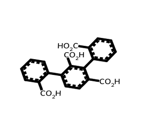 O=C(O)c1ccccc1-c1ccc(C(=O)O)c(-c2ccccc2C(=O)O)c1C(=O)O